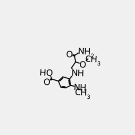 CNc1ccc(C(=O)O)cc1NCC(OC)C(N)=O